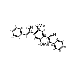 COc1cc(C(C#N)=Cc2ccccc2)c(OC)cc1C(C#N)=Cc1ccccc1